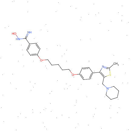 Cc1nc(-c2ccc(OCCCCCOc3ccc(C(=N)NO)cc3)cc2)c(CN2CCCCC2)s1